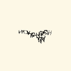 Cn1cnc2cc(-c3ccc(C(C)(C)O)nc3)nc(N3CC[C@@H](O)C3)c2c1=O